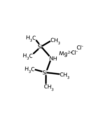 C[Si](C)(C)N[Si](C)(C)C.[Cl-].[Cl-].[Mg+2]